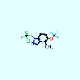 Cc1c(OC(F)(F)F)ccc2c1cnn2SC(F)(Cl)Cl